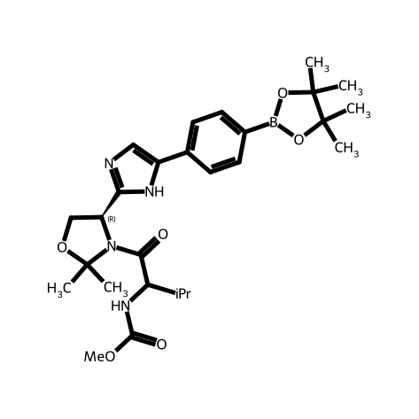 COC(=O)NC(C(=O)N1[C@H](c2ncc(-c3ccc(B4OC(C)(C)C(C)(C)O4)cc3)[nH]2)COC1(C)C)C(C)C